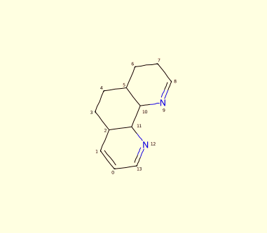 C1=CC2CCC3CCC=NC3C2N=C1